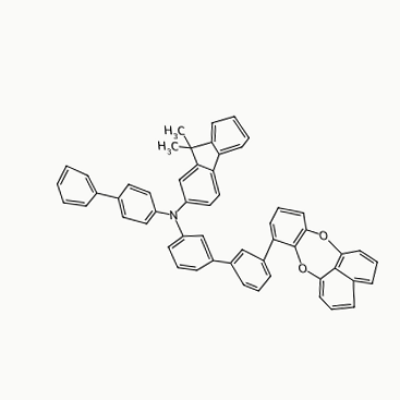 CC1(C)c2ccccc2-c2ccc(N(c3ccc(-c4ccccc4)cc3)c3cccc(-c4cccc(-c5cccc6c5Oc5cccc7cccc(c57)O6)c4)c3)cc21